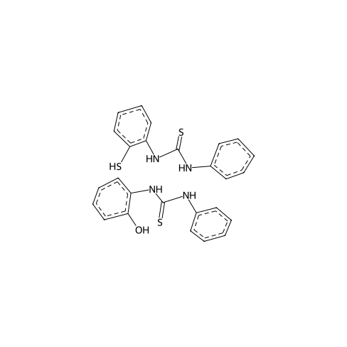 Oc1ccccc1NC(=S)Nc1ccccc1.S=C(Nc1ccccc1)Nc1ccccc1S